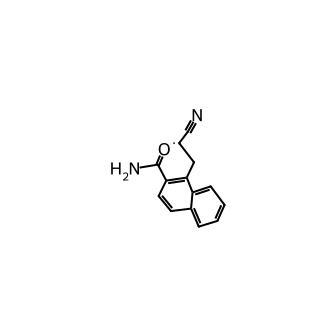 N#C[CH]Cc1c(C(N)=O)ccc2ccccc12